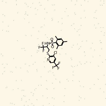 Cc1cc(C)c(S(=O)(=O)NC(CSc2ncc(C(F)(F)F)cc2Cl)C(F)(F)F)c(C)c1